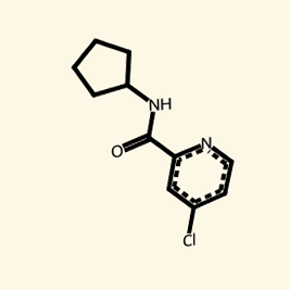 O=C(NC1CCCC1)c1cc(Cl)ccn1